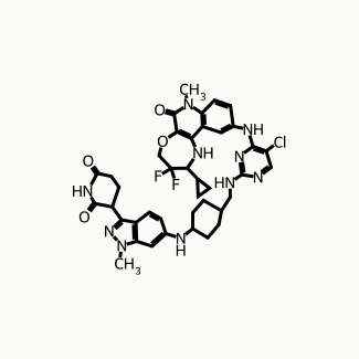 Cn1nc(C2CCC(=O)NC2=O)c2ccc(NC3CCC(CNc4ncc(Cl)c(Nc5ccc6c(c5)c5c(c(=O)n6C)OCC(F)(F)C(C6CC6)N5)n4)CC3)cc21